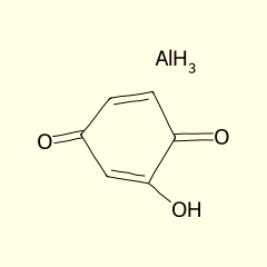 O=C1C=CC(=O)C(O)=C1.[AlH3]